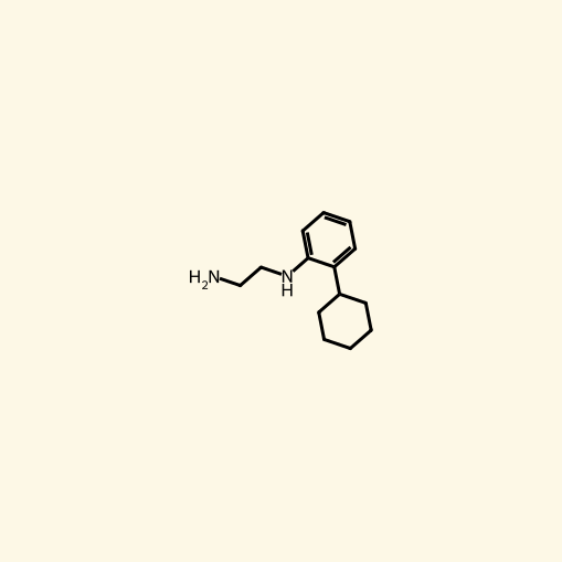 NCCNc1ccccc1C1CCCCC1